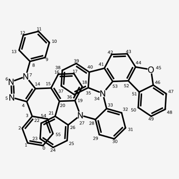 c1ccc(-c2nnn(-c3ccccc3)c2-c2cccc3c2c2ccccc2n3-c2ccccc2-n2c3ccccc3c3ccc4oc5ccccc5c4c32)cc1